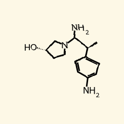 C[C@@H](c1ccc(N)cc1)C(N)N1CC[C@H](O)C1